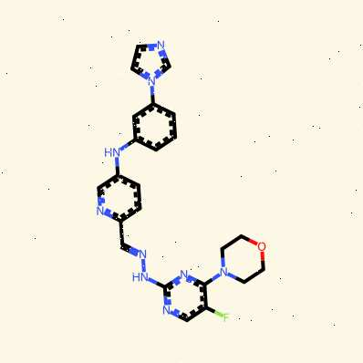 Fc1cnc(N/N=C/c2ccc(Nc3cccc(-n4ccnc4)c3)cn2)nc1N1CCOCC1